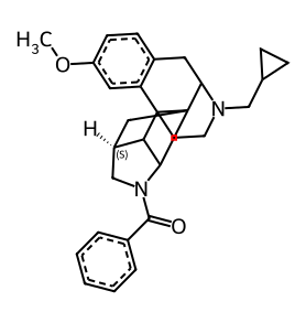 COc1ccc2c(c1)C13CCN(CC4CC4)C(C2)C12CCC1C3[C@@H](CN1C(=O)c1ccccc1)C2